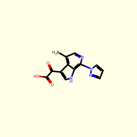 Bc1cnc(-n2cccn2)c2[nH]cc(C(=O)C(=O)O)c12